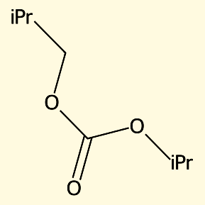 [CH2]C(C)COC(=O)OC(C)C